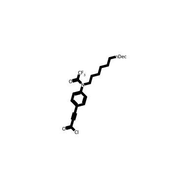 CCCCCCCCCCCCCCCCN(C(=O)C(F)(F)F)c1ccc(C#CC(=O)Cl)cc1